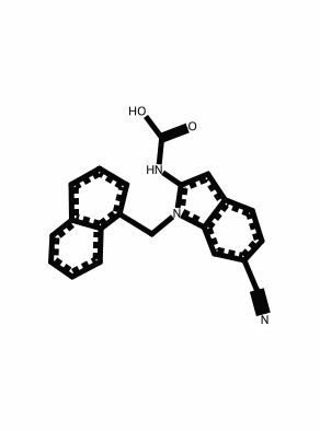 N#Cc1ccc2cc(NC(=O)O)n(Cc3cccc4ccccc34)c2c1